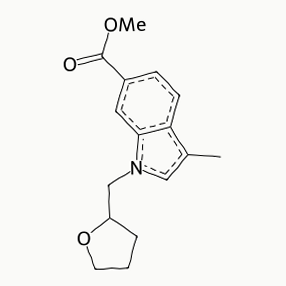 COC(=O)c1ccc2c(C)cn(CC3CCCO3)c2c1